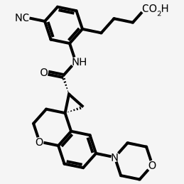 N#Cc1ccc(CCCC(=O)O)c(NC(=O)[C@@H]2C[C@]23CCOc2ccc(N4CCOCC4)cc23)c1